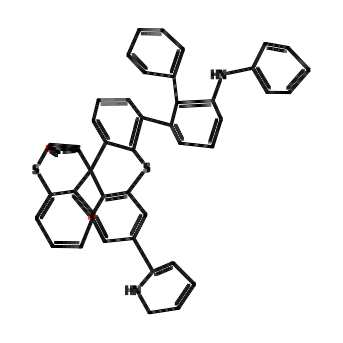 C1=CCNC(c2ccc3c(c2)Sc2c(-c4cccc(Nc5ccccc5)c4-c4ccccc4)cccc2C32c3ccccc3Sc3ccccc32)=C1